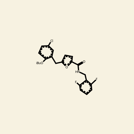 CC(C)COc1ccc(Cl)cc1Cc1ccc(C(=O)NCc2c(F)cccc2F)o1